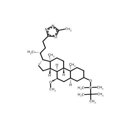 CO[C@@H]1C[C@@H]2CC(O[Si](C)(C)C(C)(C)C)CC[C@]2(C)[C@H]2CC[C@]3(C)[C@@H]([C@H](C)CCc4nnc(C)o4)CC[C@H]3[C@H]12